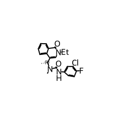 CCn1cc([C@@H](C)N(C)C(=O)Nc2ccc(F)c(Cl)c2)c2ccccc2c1=O